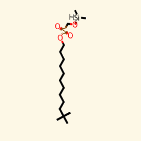 C[SiH](C)OCS(=O)(=O)OCCCCCCCCCCC(C)(C)C